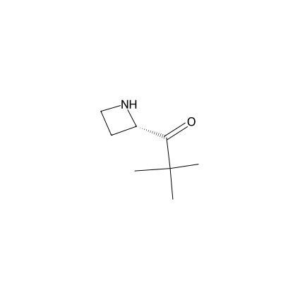 CC(C)(C)C(=O)[C@@H]1CCN1